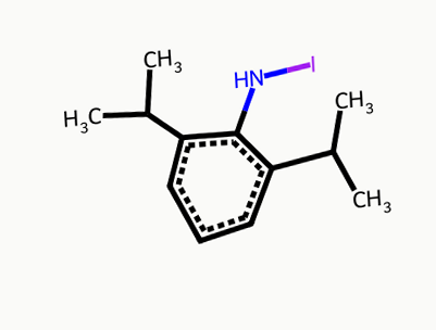 CC(C)c1cccc(C(C)C)c1NI